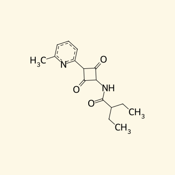 CCC(CC)C(=O)NC1C(=O)C(c2cccc(C)n2)C1=O